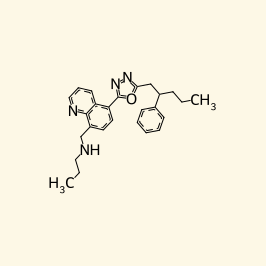 CCCNCc1ccc(-c2nnc(CC(CCC)c3ccccc3)o2)c2cccnc12